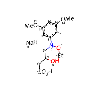 CCON(CC(O)CS(=O)(=O)O)c1cc(OC)cc(OC)c1.[NaH]